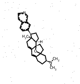 CN(C)[C@H]1CCC2=CC3=CC[C@]4(C)[C@@H](c5ccc6ccncc6c5)CC[C@H]4[C@@]34CCC2(C1)O4